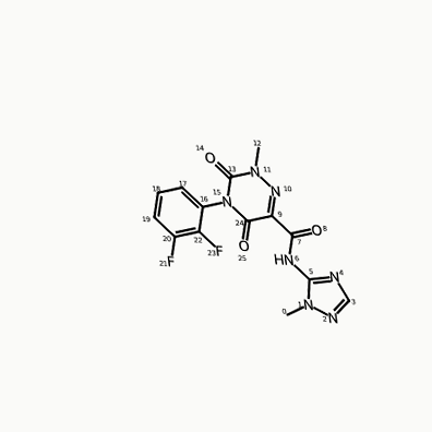 Cn1ncnc1NC(=O)c1nn(C)c(=O)n(-c2cccc(F)c2F)c1=O